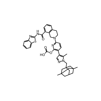 Cc1c(-c2ccc(N3CCc4cccc(C(=O)Nc5nc6ccccc6s5)c4C3)nc2OC(=O)O)cnn1CC12CC3CC(C)(CC(C)(C3)C1)C2